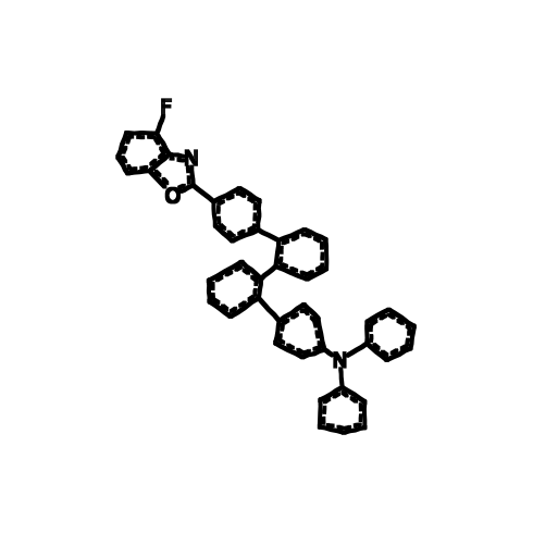 Fc1cccc2oc(-c3ccc(-c4ccccc4-c4ccccc4-c4ccc(N(c5ccccc5)c5ccccc5)cc4)cc3)nc12